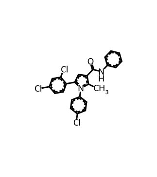 Cc1c(C(=O)Nc2ccccc2)cc(-c2ccc(Cl)cc2Cl)n1-c1ccc(Cl)cc1